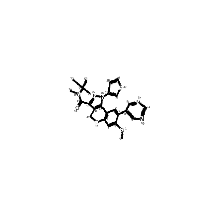 COc1cc2c(cc1-c1cncnc1)-c1c(c(C(=O)N(C)C(C)(C)C)nn1-c1ccsc1)CO2